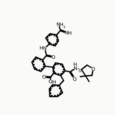 CC1(C)COC[C@H]1NC(=O)c1ccc(-c2ccccc2C(=O)Nc2ccc(C(=N)N)cc2)c(C(=O)O)c1Cc1ccccc1